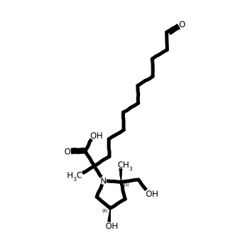 CC(CCCCCCCCCC=O)(C(=O)O)N1C[C@H](O)C[C@@]1(C)CO